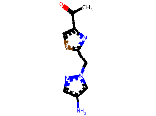 CC(=O)c1csc(Cn2cc(N)cn2)n1